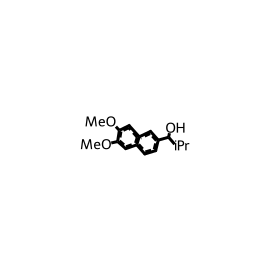 COc1cc2ccc(C(O)C(C)C)cc2cc1OC